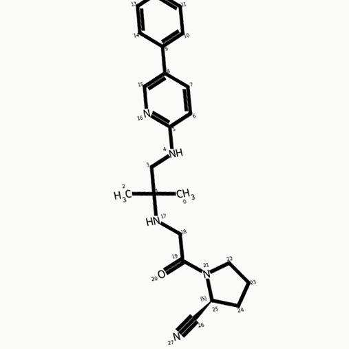 CC(C)(CNc1ccc(-c2ccccc2)cn1)NCC(=O)N1CCC[C@H]1C#N